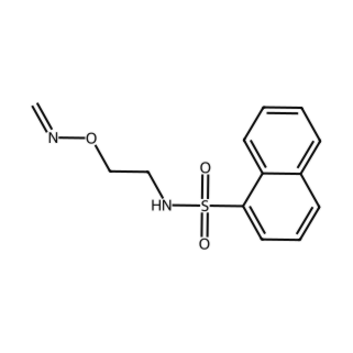 C=NOCCNS(=O)(=O)c1cccc2ccccc12